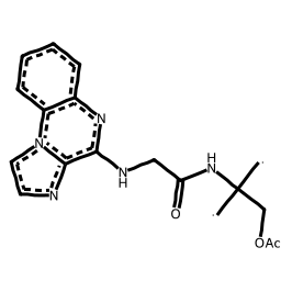 [CH2]C([CH2])(COC(C)=O)NC(=O)CNc1nc2ccccc2n2ccnc12